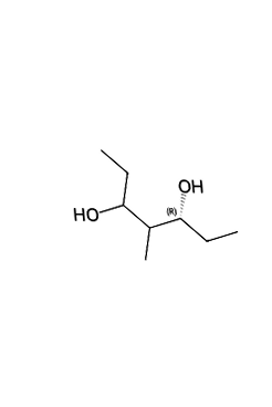 CCC(O)C(C)[C@H](O)CC